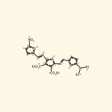 CCOC(=O)c1c(/N=C/c2ccc(N(CC)CC)s2)sc(/N=C/c2ccc([N+](=O)[O-])s2)c1C(=O)OCC